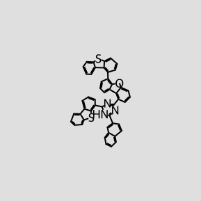 c1ccc2cc(C3=NC(c4cccc5oc6c(-c7cccc8sc9ccccc9c78)cccc6c45)=NC(c4cccc5c4sc4ccccc45)N3)ccc2c1